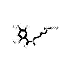 COc1cc(N)c(Cl)cc1C(=O)N(C)CCCCNC(=O)O